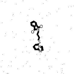 O=C1c2ccccc2C(=O)N1CCCCSc1cccc2nccn12